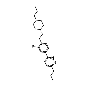 CCCc1ccc(-c2ccc(CC[C@H]3CC[C@H](CCC)CC3)c(F)c2)nn1